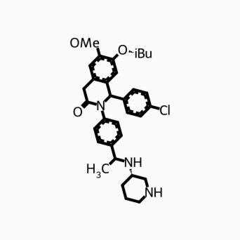 CC[C@@H](C)Oc1cc2c(cc1OC)CC(=O)N(c1ccc(C(C)N[C@H]3CCCNC3)cc1)C2c1ccc(Cl)cc1